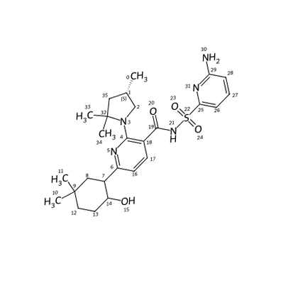 C[C@@H]1CN(c2nc(C3CC(C)(C)CCC3O)ccc2C(=O)NS(=O)(=O)c2cccc(N)n2)C(C)(C)C1